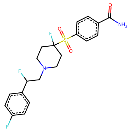 NC(=O)c1ccc(S(=O)(=O)C2(F)CCN(CC(F)c3ccc(F)cc3)CC2)cc1